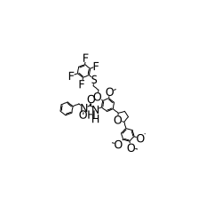 COc1cc(C2CCC(c3cc(OC)c(OC)c(OC)c3)O2)cc(NC(=O)N(O)Cc2ccccc2)c1OCCSc1c(F)c(F)cc(F)c1F